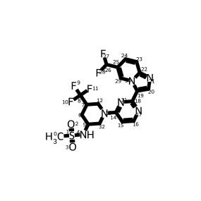 CS(=O)(=O)NC1CC(C(F)(F)F)CN(c2ccnc(-c3cnc4ccc(C(F)F)cn34)n2)C1